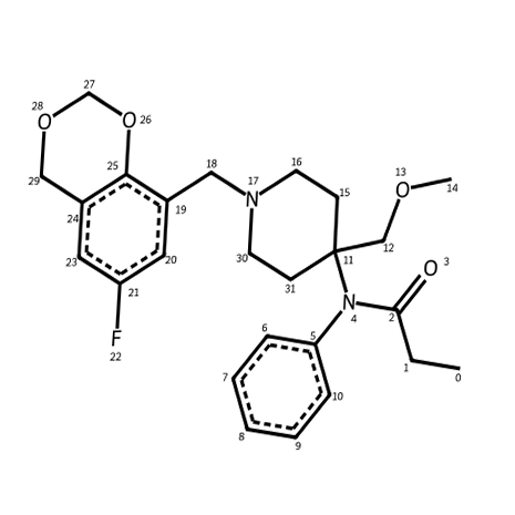 CCC(=O)N(c1ccccc1)C1(COC)CCN(Cc2cc(F)cc3c2OCOC3)CC1